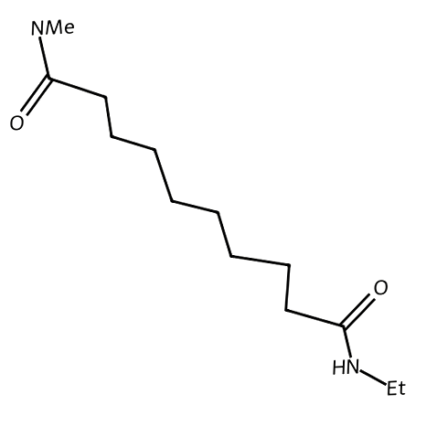 CCNC(=O)CCCCCCCCC(=O)NC